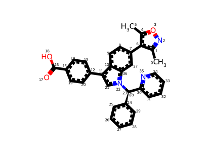 Cc1noc(C)c1-c1ccc2c(-c3ccc(C(=O)O)cc3)cn([C@H](c3ccccc3)c3ccccn3)c2c1